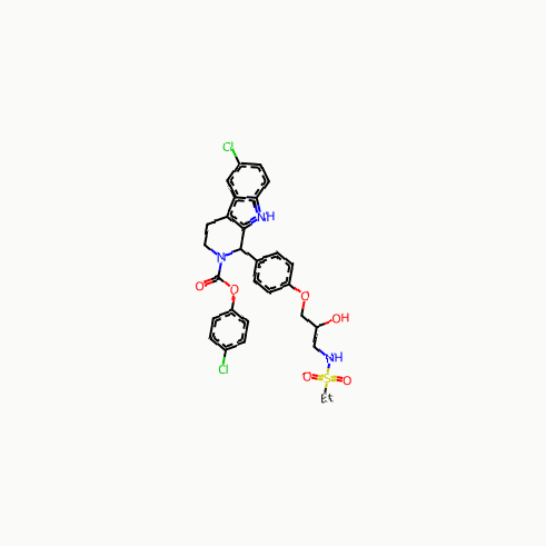 CCS(=O)(=O)NCC(O)COc1ccc(C2c3[nH]c4ccc(Cl)cc4c3CCN2C(=O)Oc2ccc(Cl)cc2)cc1